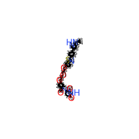 O=C1CCC(N2Cc3cc(OCCOCCOc4ccc5nc(-c6ccc(-c7ccc(NC8CC8)nc7)cc6)sc5c4)ccc3C2=O)C(=O)N1